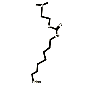 CCCCCCCCCCCCCCCCNC(=O)OCCN(C)C